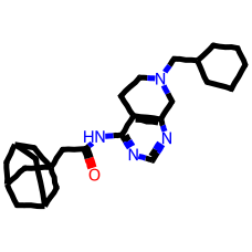 O=C(CC12CC3CC(CC(C3)C1)C2)Nc1ncnc2c1CCN(CC1CCCCC1)C2